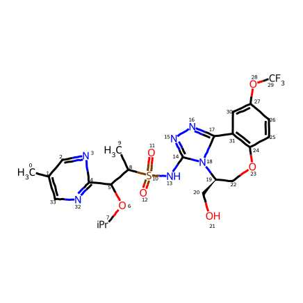 Cc1cnc(C(OC(C)C)C(C)S(=O)(=O)Nc2nnc3n2[C@H](CO)COc2ccc(OC(F)(F)F)cc2-3)nc1